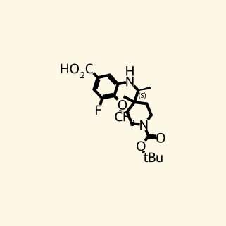 C[C@H](Nc1cc(C(=O)O)cc(F)c1OC(F)(F)F)C1(C)CCN(C(=O)OC(C)(C)C)CC1